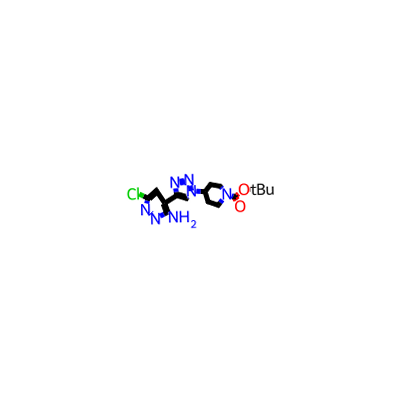 CC(C)(C)OC(=O)N1CCC(n2cc(-c3cc(Cl)nnc3N)nn2)CC1